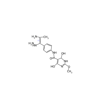 COC1=NC(O)=C(C(=O)Nc2ccc(/C(NN)=C(\C)N)cc2)C(O)N1